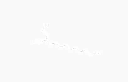 CC(C)(C)OOCCCCCCCC(OOC(C)(C)C)C(=O)O